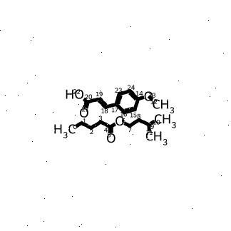 CCCCC(=O)OCCC(C)C.COc1ccc(C=CC(=O)O)cc1